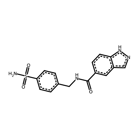 NS(=O)(=O)c1ccc(CNC(=O)c2ccc3[nH]ncc3c2)cc1